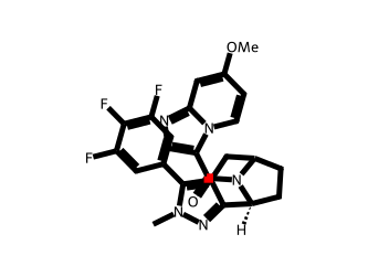 COc1ccn2c(C(=O)N3C4CC[C@H]3c3nn(C)c(-c5cc(F)c(F)c(F)c5)c3C4)cnc2c1